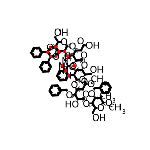 COC(=O)C1O[C@@H](O[C@@H]2C(CO)O[C@H](OC)C(C)[C@@H]2OCc2ccccc2)C(O)[C@@H](OCc2ccccc2)[C@H]1O[C@@H]1OC(CO)[C@@H](O[C@@H]2OC(C(=O)O)[C@@H](O[C@H]3OC(CO)[C@@H](OCc4ccccc4)[C@@H](OCc4ccccc4)C3N=[N+]=[N-])[C@@H](OCc3ccccc3)C2OCc2ccccc2)[C@H](O)C1N=[N+]=[N-]